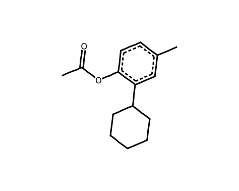 CC(=O)Oc1ccc(C)cc1C1CCCCC1